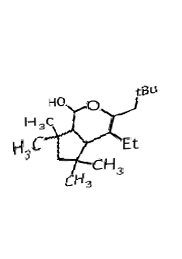 CCC1C(CC(C)(C)C)OC(O)C2C1C(C)(C)CC2(C)C